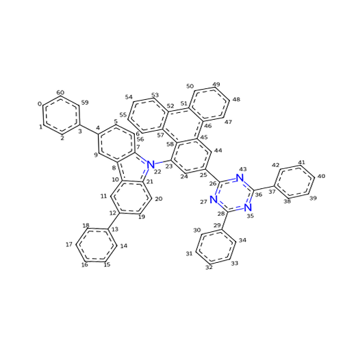 c1ccc(-c2ccc3c(c2)c2cc(-c4ccccc4)ccc2n3-c2cc(-c3nc(-c4ccccc4)nc(-c4ccccc4)n3)cc3c4ccccc4c4ccccc4c23)cc1